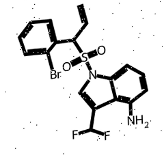 C=CC(c1ccccc1Br)S(=O)(=O)n1cc(C(F)F)c2c(N)cccc21